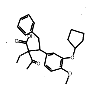 CCC(C(C)=O)(C(=O)O)C(Cc1ccccc1)c1ccc(OC)c(OC2CCCC2)c1